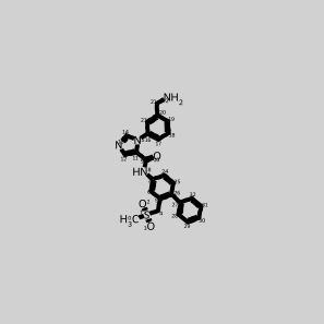 CS(=O)(=O)Cc1cc(NC(=O)c2cncn2-c2cccc(CN)c2)ccc1-c1ccccc1